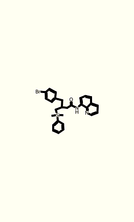 C[Si](C)(CC(CC(=O)Nc1cccc2cccnc12)Cc1ccc(Br)cc1)c1ccccc1